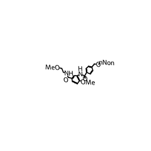 CCCCCCCCCOCc1ccc(C(=O)Nc2cc(C(=O)NCCOC)ccc2OC)cc1